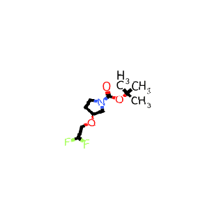 CC(C)(C)OC(=O)N1CC[C@H](OCC(F)F)C1